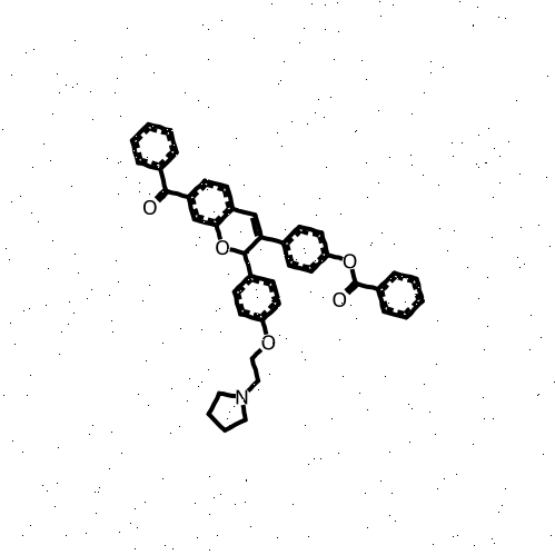 O=C(Oc1ccc(C2=Cc3ccc(C(=O)c4ccccc4)cc3OC2c2ccc(OCCN3CCCC3)cc2)cc1)c1ccccc1